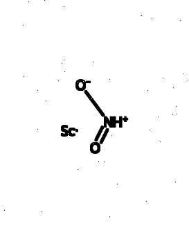 O=[NH+][O-].[Sc]